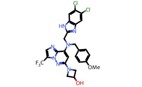 COc1ccc(CN(Cc2nc3cc(Cl)c(Cl)cc3[nH]2)c2cc(N3CC(O)C3)nn3c(C(F)(F)F)cnc23)cc1